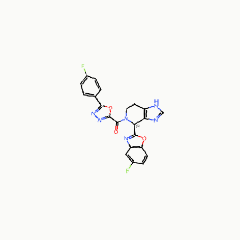 O=C(c1nnc(-c2ccc(F)cc2)o1)N1CCc2[nH]cnc2[C@H]1c1nc2cc(F)ccc2o1